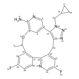 CC1Oc2cc(cnc2N)-c2c(nnn2CC2CC2)Cc2cc(F)cnc2-c2ccc(F)cc21